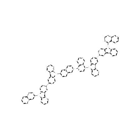 c1ccc2cc(-n3c4ccccc4c4cc(-c5ccc6c(c5)c5ccccc5n6-c5ccc6cc(-c7ccc(-n8c9ccccc9c9cc(-c%10ccc%11c(c%10)c%10ccccc%10n%11-c%10cccc%11ccccc%10%11)ccc98)c8ccccc78)ccc6c5)ccc43)ccc2c1